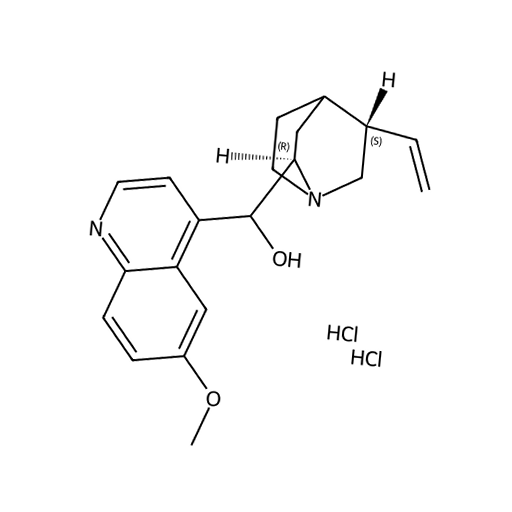 C=C[C@@H]1CN2CCC1C[C@@H]2C(O)c1ccnc2ccc(OC)cc12.Cl.Cl